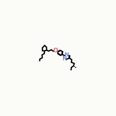 CCCCCC1CCCCC1CCCOc1ccc(-c2ncc(CCC[C@@H](C)CC)cn2)cc1